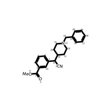 COC(=O)c1cccc(C(C#N)C2CCN(Cc3ccccc3)CC2)c1